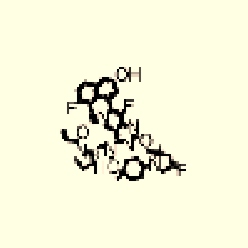 C#Cc1c(F)ccc2cc(O)cc(-c3ncc4c(N(C)C[C@@H]5CCCN5C(=O)C=C)nc(OC[C@]5(C)C[C@@H](F)CN5C5CCC(C)(O)CC5)nc4c3F)c12